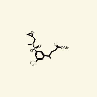 COC(=O)CCC(C)c1cc(C(F)(F)F)cc(S(=O)(=O)N(C)C[C@H]2CO2)c1